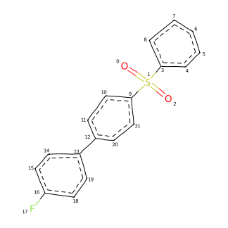 O=S(=O)(c1ccccc1)c1ccc(-c2ccc(F)cc2)cc1